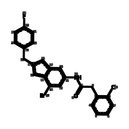 O=C(Cc1ccccc1Cl)Nc1cc(Br)c2cn(Cc3ccc(F)cc3)cc2c1